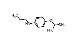 CCCNc1ccc(OC(C)C)cc1